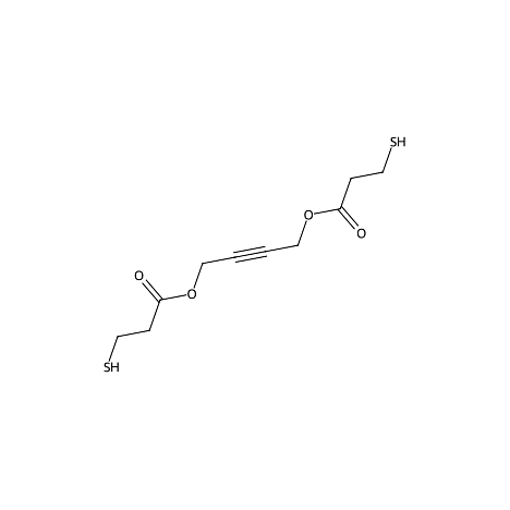 O=C(CCS)OCC#CCOC(=O)CCS